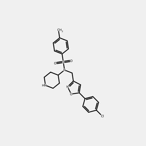 Cc1ccc(S(=O)(=O)N(Cc2cc(-c3ccc(Cl)cc3)on2)C2CCNCC2)cc1